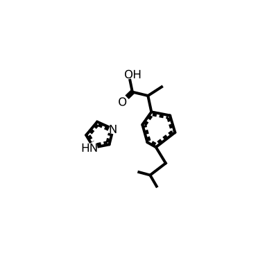 CC(C)Cc1ccc(C(C)C(=O)O)cc1.c1c[nH]cn1